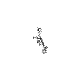 Cc1cccc(CC/C=C/[C@@H]2[C@H]3CC(CNCCC(=O)N4CCOCC4)=C[C@H]3C[C@H]2O)c1